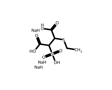 CCSC(C(=O)O)C(C(=O)O)S(=O)(=O)O.[NaH].[NaH].[NaH]